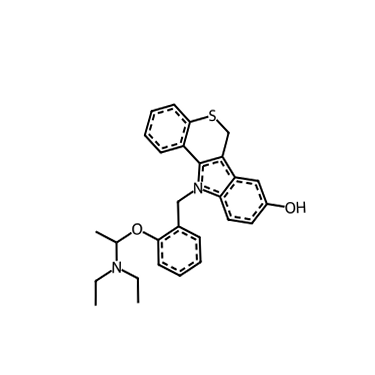 CCN(CC)C(C)Oc1ccccc1Cn1c2c(c3cc(O)ccc31)CSc1ccccc1-2